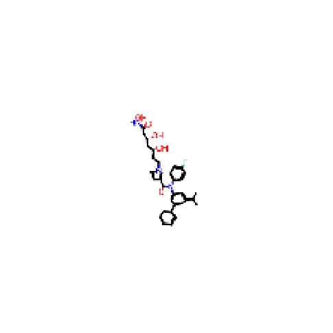 CC(C)c1cc(-c2ccccc2)cc(N(C(=O)c2ccn(CC[C@@H](O)C[C@@H](O)CC(=O)NO)c2)c2ccc(F)cc2)c1